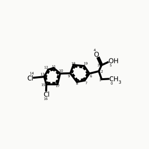 CCC(C(=O)O)c1ccc(-c2ccc(Cl)c(Cl)c2)cc1